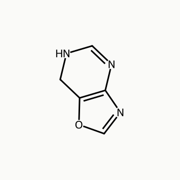 C1=Nc2ncoc2CN1